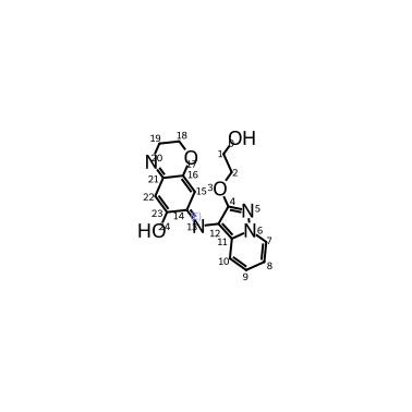 OCCOc1nn2ccccc2c1/N=C1\C=C2OCCN=C2C=C1O